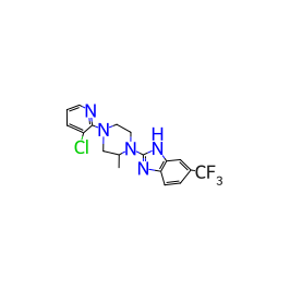 CC1CN(c2ncccc2Cl)CCN1c1nc2ccc(C(F)(F)F)cc2[nH]1